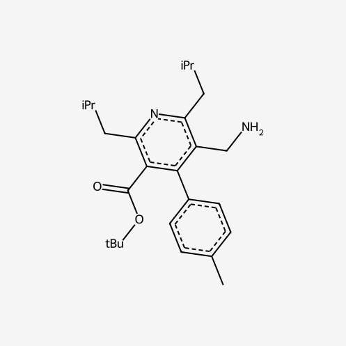 Cc1ccc(-c2c(CN)c(CC(C)C)nc(CC(C)C)c2C(=O)OC(C)(C)C)cc1